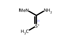 CN/C(N)=[S+]\C.[I-]